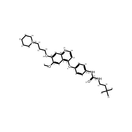 COc1cc2c(Oc3ccc(NC(=O)NCCC(C)(C)C)cc3)ccnc2cc1OCCCN1CCCCC1